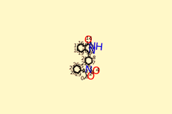 CC1OC(=O)N(c2ccc(-c3n[nH]c(=O)c4ccccc34)cc2)C1c1ccccc1